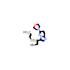 CCCCC=Cc1cnc2ccc(N3CCOCC3)nn12.O=C(O)C=CC(=O)O